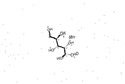 O=C[C@H](O)[C@@H](O)[C@H](O)[C@H](O)CO.[Mn]